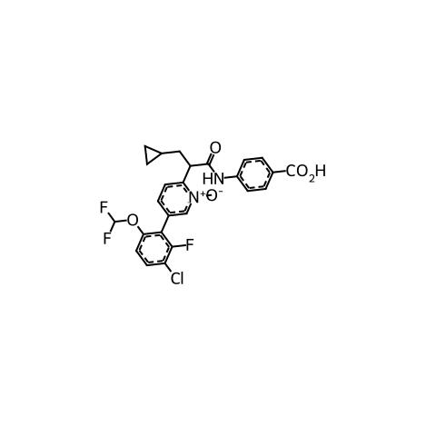 O=C(O)c1ccc(NC(=O)C(CC2CC2)c2ccc(-c3c(OC(F)F)ccc(Cl)c3F)c[n+]2[O-])cc1